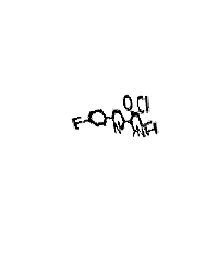 Cc1[nH]c(C)c(-c2ccc(-c3ccc(F)cc3)nc2)c(=O)c1Cl